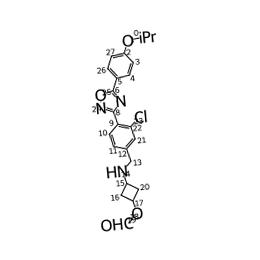 CC(C)Oc1ccc(-c2nc(-c3ccc(CNC4CC(OC=O)C4)cc3Cl)no2)cc1